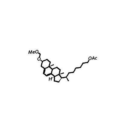 COCO[C@H]1CC[C@@]2(C)C(=CC=C3C2CC[C@]2(C)[C@@H]([C@H](C)CCCCCCOC(C)=O)CC[C@@H]32)C1